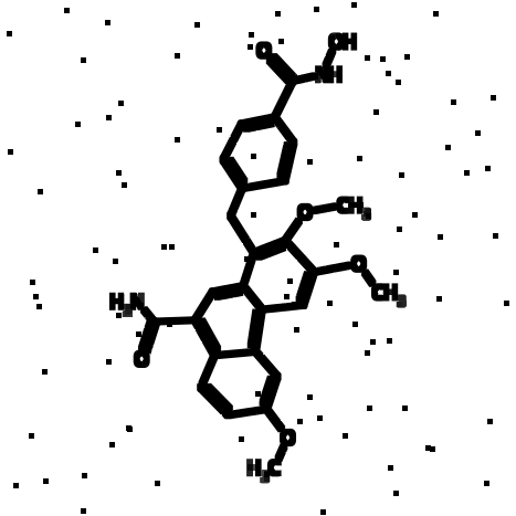 COc1ccc2c(C(N)=O)cc3c(Cc4ccc(C(=O)NO)cc4)c(OC)c(OC)cc3c2c1